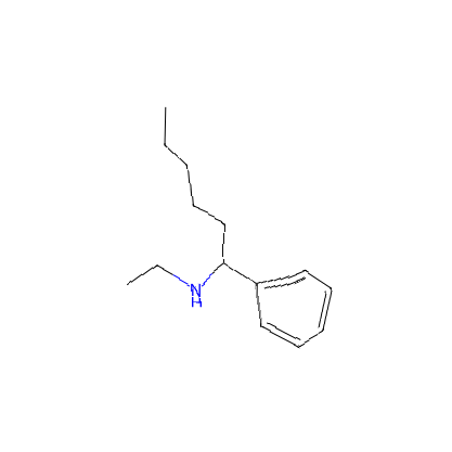 CCCCCC(NCC)c1ccccc1